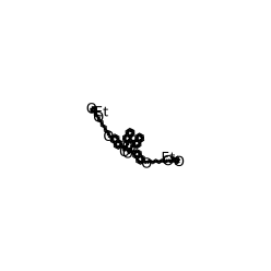 CCC1(COCCCCCCOc2ccc3cc(C(=O)Oc4ccc5ccccc5c4-c4c(OC(=O)c5ccc6cc(OCCCCCCOCC7(CC)COC7)ccc6c5)ccc5ccccc45)ccc3c2)COC1